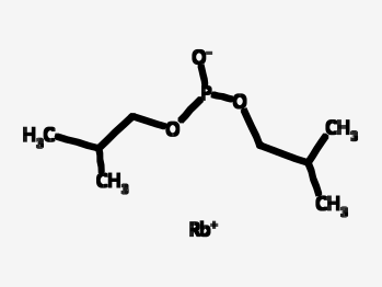 CC(C)COP([O-])OCC(C)C.[Rb+]